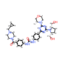 C[C@@H]1COCCN1c1nc(-c2ccc(NC(=O)Nc3ccc(C(=O)N4CCN(CC5CC5)CC4)cc3)cc2)nc(N2[C@H](CO)CC[C@@H]2CO)n1